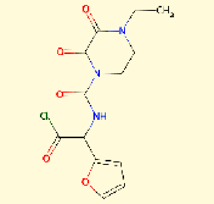 CCN1CCN(C(=O)NC(C(=O)Cl)c2ccco2)C(=O)C1=O